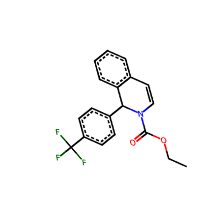 CCOC(=O)N1C=Cc2ccccc2C1c1ccc(C(F)(F)F)cc1